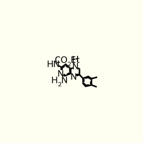 CCOC(=O)Nc1cc2c(c(N)n1)N=C(c1ccc(C)c(C)c1)CN2